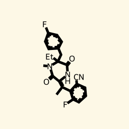 CCC1(Cc2ccc(F)cc2)C(=O)NC(=C(C)c2c(F)cccc2C#N)C(=O)N1C